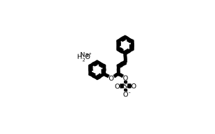 O.O=S(=O)([O-])OC(/C=C/c1ccccc1)Oc1ccccc1.[Na+]